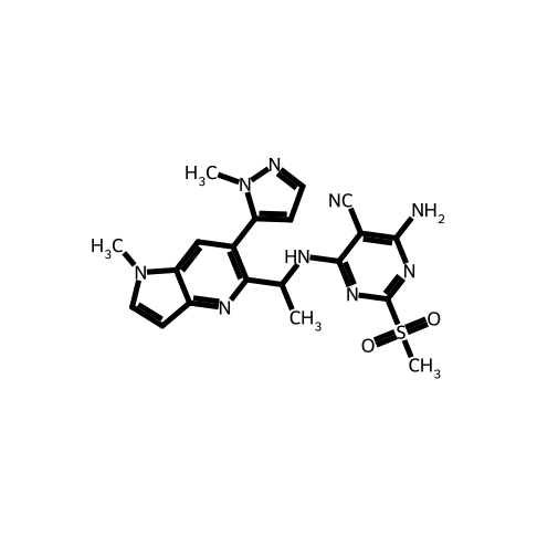 CC(Nc1nc(S(C)(=O)=O)nc(N)c1C#N)c1nc2ccn(C)c2cc1-c1ccnn1C